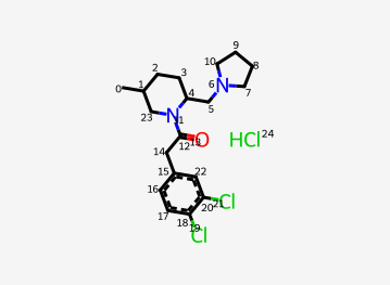 CC1CCC(CN2CCCC2)N(C(=O)Cc2ccc(Cl)c(Cl)c2)C1.Cl